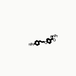 CCCOC(=O)c1ccc(OCCCC2CCC(CCC)CC2)cc1